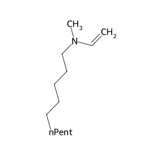 C=CN(C)CCCCCCCCCC